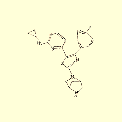 Fc1ccc(-c2nc(N3CC4CC3CN4)sc2-c2ccnc(NC3CC3)n2)cc1